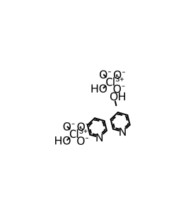 CO.[O-][Cl+3]([O-])([O-])O.[O-][Cl+3]([O-])([O-])O.c1ccncc1.c1ccncc1